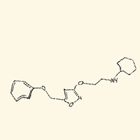 c1ccc(OCc2cc(OCCNC3CCCCC3)no2)cc1